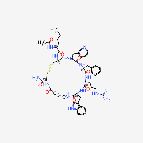 CCCC[C@H](NC(C)=O)C(=O)N[C@H]1CSSC[C@@H](C(N)=O)NC(=O)CCCNC(=O)[C@H](Cc2c[nH]c3ccccc23)NC(=O)[C@H](CCCNC(=N)N)NC(=O)[C@@H](Cc2ccccc2)NC(=O)[C@H](Cc2cccnc2)NC1=O